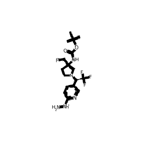 CC(C)(C)OC(=O)NC1(CF)CCN([C@H](c2ccc(NN)nc2)C(F)(F)F)C1